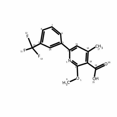 COc1nc(-c2cccc(C(F)(F)F)c2)cc(C)c1C(=O)O